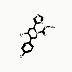 CC1CC(c2cscn2)N(C(=O)OC(C)(C)C)CC1c1ccc(Cl)cc1